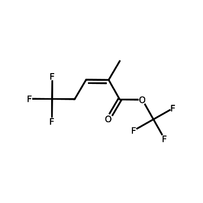 CC(=CCC(F)(F)F)C(=O)OC(F)(F)F